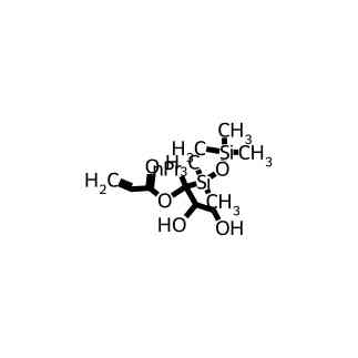 C=CC(=O)OC(CCC)(C(O)CO)[Si](C)(C)O[Si](C)(C)C